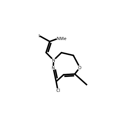 CN/C(I)=C\N1CCO/C(C)=C/C(Cl)=N\1